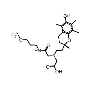 Cc1c(C)c2c(c(C)c1O)CCC(C)(CCN(CC(=O)O)CC(=O)NCCCON)O2